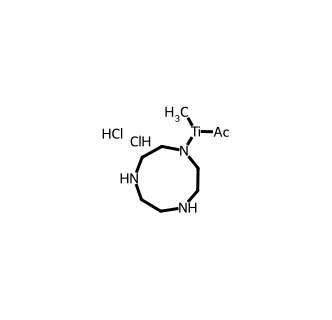 C[C](=O)[Ti]([CH3])[N]1CCNCCNCC1.Cl.Cl